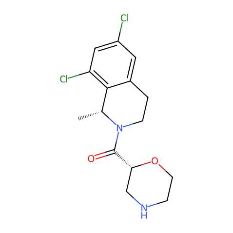 C[C@@H]1c2c(Cl)cc(Cl)cc2CCN1C(=O)[C@H]1CNCCO1